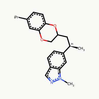 CC(C)c1ccc2c(c1)OCC(C[C@@H](C)c1ccc3cnn(C)c3c1)O2